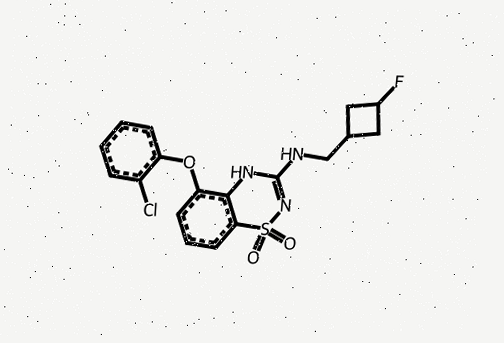 O=S1(=O)N=C(NCC2CC(F)C2)Nc2c(Oc3ccccc3Cl)cccc21